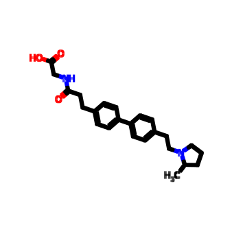 CC1CCCN1CCc1ccc(-c2ccc(CCC(=O)NCC(=O)O)cc2)cc1